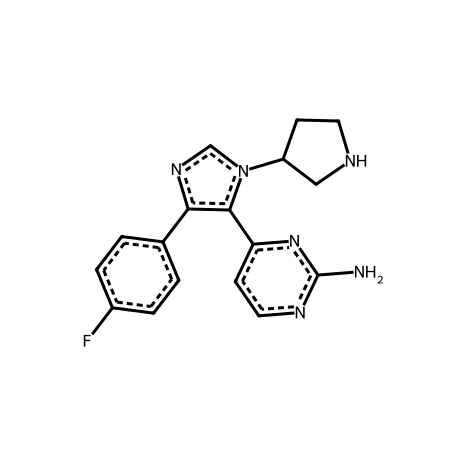 Nc1nccc(-c2c(-c3ccc(F)cc3)ncn2C2CCNC2)n1